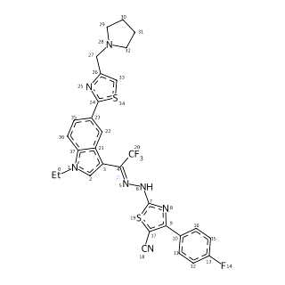 CCn1cc(/C(=N/Nc2nc(-c3ccc(F)cc3)c(C#N)s2)C(F)(F)F)c2cc(-c3nc(CN4CCCC4)cs3)ccc21